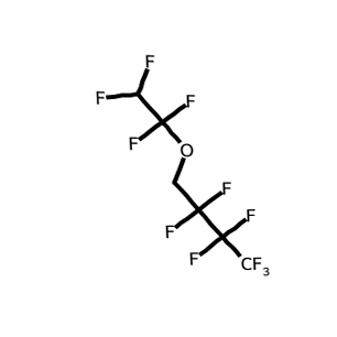 FC(F)C(F)(F)OCC(F)(F)C(F)(F)C(F)(F)F